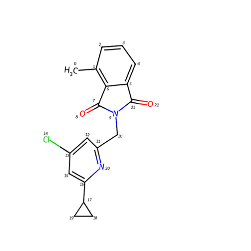 Cc1cccc2c1C(=O)N(Cc1cc(Cl)cc(C3CC3)n1)C2=O